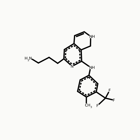 Cc1ccc(Nc2nc(CCCN)cc3c2CNC=C3)cc1C(F)(F)F